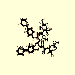 COC(=O)N[C@H](C(=O)N[C@H](Cc1ccc(-c2ccccn2)cc1)[C@H](O)[C@@H](O)[C@@H](Cc1ccc(-c2ccccn2)cc1)NC(=O)[C@@H](NC(=O)OC)C(C)(C)C)C(C)(C)C